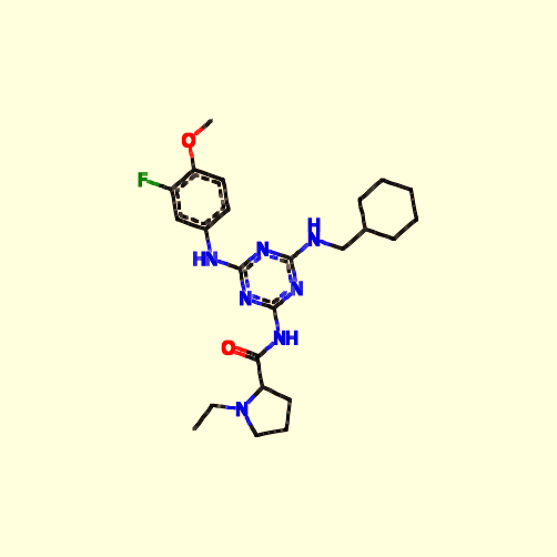 CCN1CCCC1C(=O)Nc1nc(NCC2CCCCC2)nc(Nc2ccc(OC)c(F)c2)n1